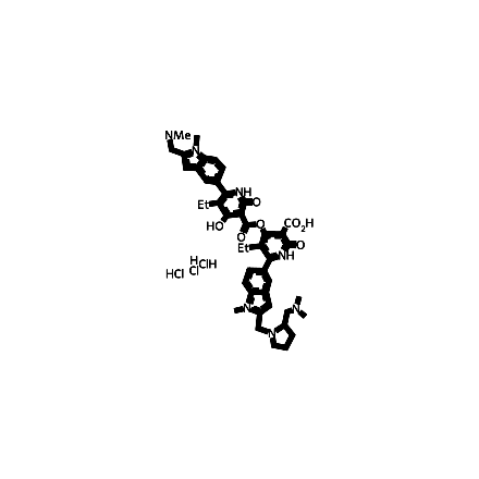 CCc1c(-c2ccc3c(c2)cc(CNC)n3C)[nH]c(=O)c(C(=O)Oc2c(CC)c(-c3ccc4c(c3)cc(CN3CCCC3CN(C)C)n4C)[nH]c(=O)c2C(=O)O)c1O.Cl.Cl.Cl